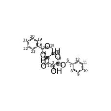 O=C1[C@H](O)[C@H](OCc2ccccc2)O[C@@H]2COC(c3ccccc3)O[C@@H]12